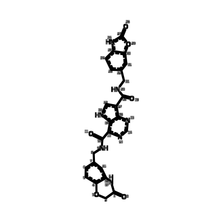 O=C1COc2ccc(CNC(=O)c3ncnc4c(C(=O)NCc5ccc6[nH]c(=O)oc6c5)c[nH]c34)cc2N1